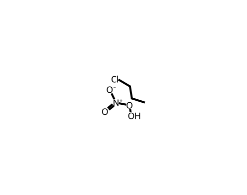 CCCCl.O=[N+]([O-])OO